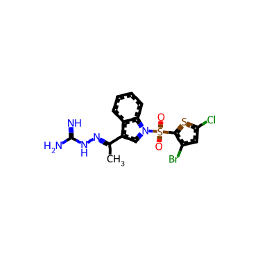 CC(=NNC(=N)N)c1cn(S(=O)(=O)c2sc(Cl)cc2Br)c2ccccc12